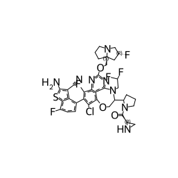 N#Cc1c(N)sc2c(F)ccc(-c3c(Cl)c4c5c(nc(OC[C@@]67CCCN6C[C@H](F)C7)nc5c3F)N(CC(F)F)C(C3CCCN3C(=O)[C@H]3CN3)CO4)c12